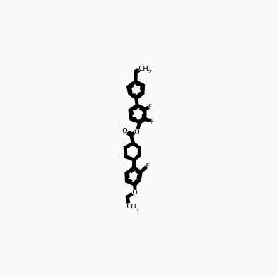 C=Cc1ccc(-c2ccc(OC(=O)C3CCC(c4ccc(OCC)cc4F)CC3)c(F)c2F)cc1